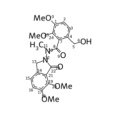 COc1ccc(CO)c(C(=O)N(C)N2Cc3ccc(OC)c(OC)c3C2=O)c1OC